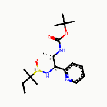 CCC(C)(C)[S@@+]([O-])N[C@H](c1ccccn1)[C@H](C)NC(=O)OC(C)(C)C